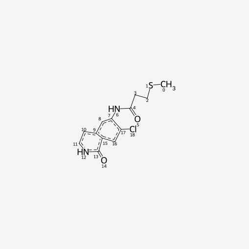 CSCCC(=O)Nc1cc2cc[nH]c(=O)c2cc1Cl